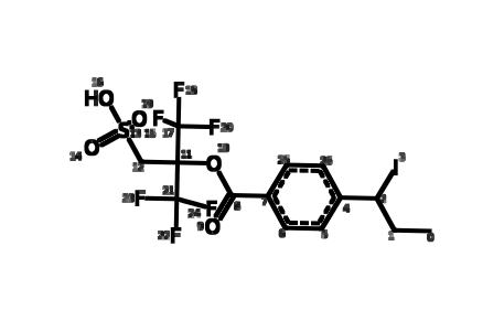 CCC(I)c1ccc(C(=O)OC(CS(=O)(=O)O)(C(F)(F)F)C(F)(F)F)cc1